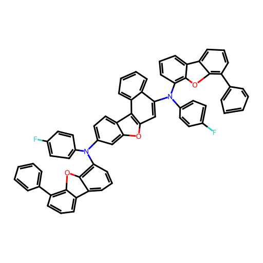 Fc1ccc(N(c2ccc3c(c2)oc2cc(N(c4ccc(F)cc4)c4cccc5c4oc4c(-c6ccccc6)cccc45)c4ccccc4c23)c2cccc3c2oc2c(-c4ccccc4)cccc23)cc1